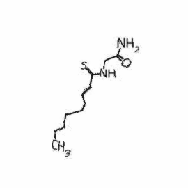 CCCCCCCC(=S)NCC(N)=O